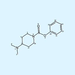 CN(C)C1CCN(C(=O)Oc2ccccc2)CC1